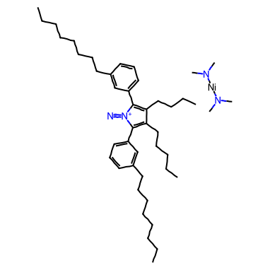 CCCCCCCCc1cccc(C2=C(CCCC)C(CCCCC)=C(c3cccc(CCCCCCCC)c3)[N+]2=[N-])c1.C[N](C)[Ni][N](C)C